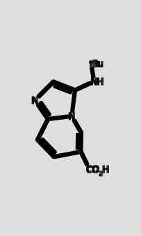 CC(C)(C)Nc1cnc2ccc(C(=O)O)cn12